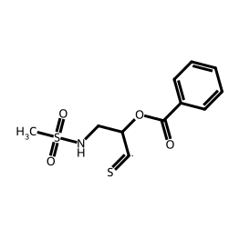 CS(=O)(=O)NCC([C]=S)OC(=O)c1ccccc1